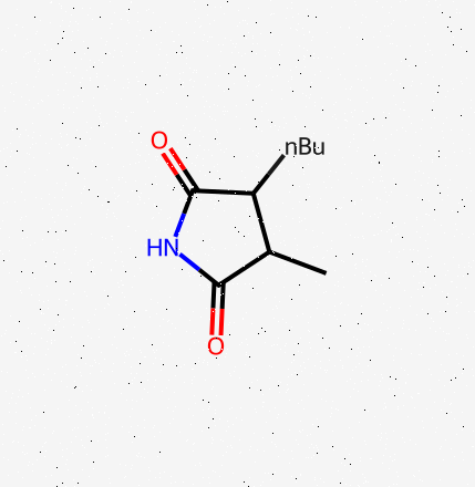 CCCCC1C(=O)NC(=O)C1C